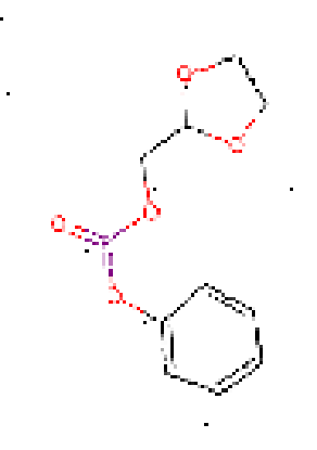 O=[PH](OCC1OCCO1)Oc1ccccc1